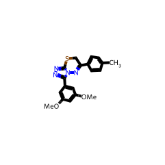 COc1cc(OC)cc(-c2nnc3n2N=C(c2ccc(C)cc2)CS3)c1